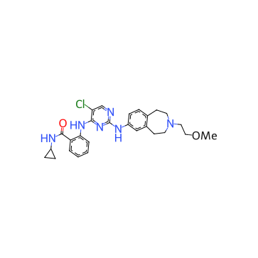 COCCN1CCc2ccc(Nc3ncc(Cl)c(Nc4ccccc4C(=O)NC4CC4)n3)cc2CC1